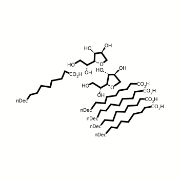 CCCCCCCCCCCCCCCCCC(=O)O.CCCCCCCCCCCCCCCCCC(=O)O.CCCCCCCCCCCCCCCCCC(=O)O.CCCCCCCCCCCCCCCCCC(=O)O.CCCCCCCCCCCCCCCCCC(=O)O.OC[C@@H](O)[C@H]1OC[C@H](O)[C@H]1O.OC[C@@H](O)[C@H]1OC[C@H](O)[C@H]1O